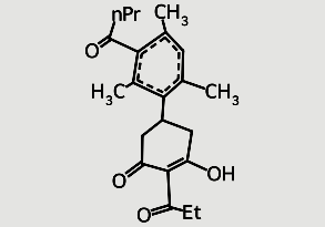 CCCC(=O)c1c(C)cc(C)c(C2CC(=O)C(C(=O)CC)=C(O)C2)c1C